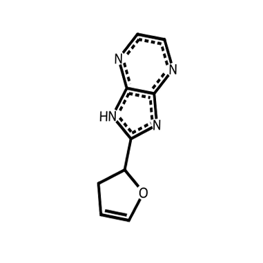 C1=COC(c2nc3nccnc3[nH]2)C1